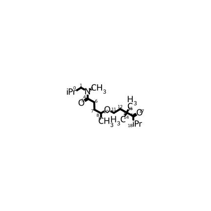 CC(C)CN(C)C(=O)CCC(C)OCCC(C)(C)C(=O)C(C)C